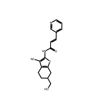 N#Cc1c(NC(=O)/C=C/c2cccnc2)sc2c1CCC(CO)C2